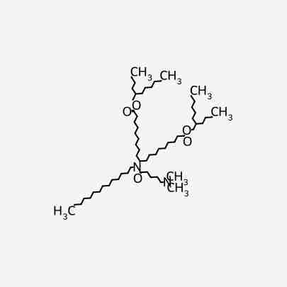 CCCCCCCCCCCCCCN(C(=O)CCCCN(C)C)C(CCCCCCCCC(=O)OCC(CCCC)CCCCCC)CCCCCCCCC(=O)OCC(CCCC)CCCCCC